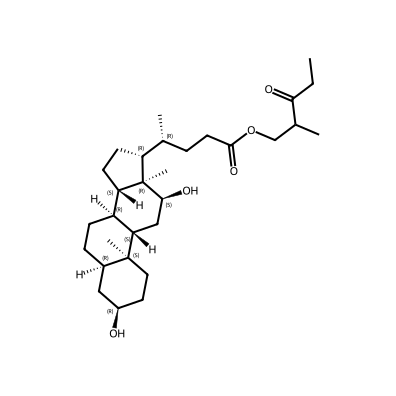 CCC(=O)C(C)COC(=O)CC[C@@H](C)[C@H]1CC[C@H]2[C@@H]3CC[C@@H]4C[C@H](O)CC[C@]4(C)[C@H]3C[C@H](O)[C@]12C